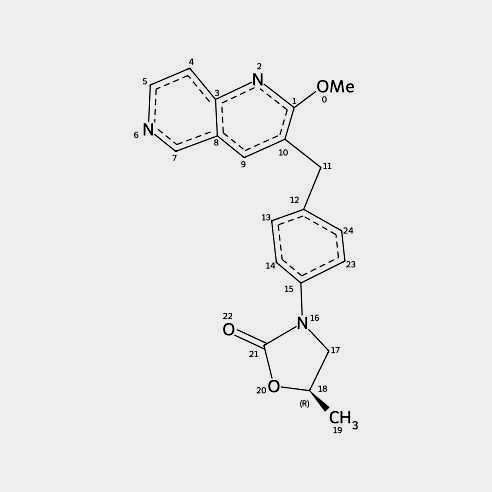 COc1nc2ccncc2cc1Cc1ccc(N2C[C@@H](C)OC2=O)cc1